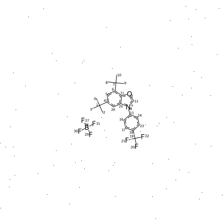 CC(C)(C)c1cc(C(C)(C)C)c2oc[n+](-c3ccc(C(F)(F)F)cc3)c2c1.F[B-](F)(F)F